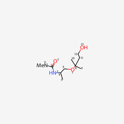 CNC(=O)NC(C)COC(C)(C)CCO